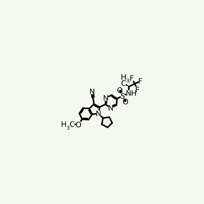 COc1ccc2c(C#N)c(-c3ncc(S(=O)(=O)N[C@@H](C)C(F)(F)F)cn3)n(C3CCCC3)c2c1